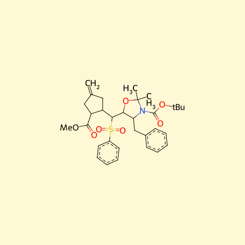 C=C1CC(C(=O)OC)C(C(C2OC(C)(C)N(C(=O)OC(C)(C)C)C2Cc2ccccc2)S(=O)(=O)c2ccccc2)C1